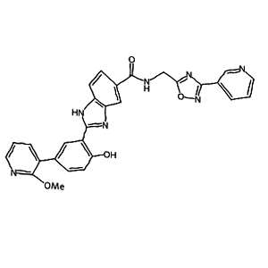 COc1ncccc1-c1ccc(O)c(-c2nc3cc(C(=O)NCc4nc(-c5cccnc5)no4)ccc3[nH]2)c1